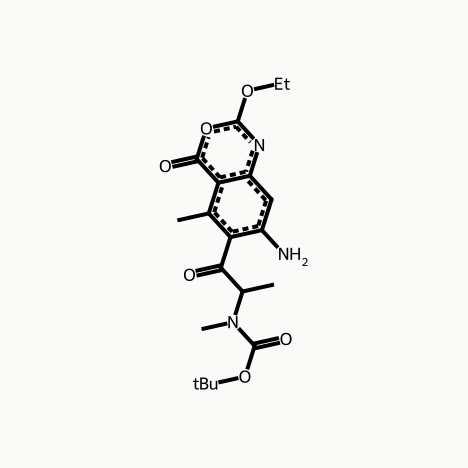 CCOc1nc2cc(N)c(C(=O)C(C)N(C)C(=O)OC(C)(C)C)c(C)c2c(=O)o1